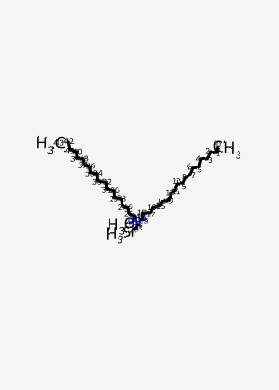 CCCCCCCCCCCCCCCCCCCC[N+](C)(C[SiH3])CCCCCCCCCCCCCCCCCCCC